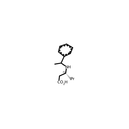 CC(N[C@@H](CC(=O)O)C(C)C)c1ccccc1